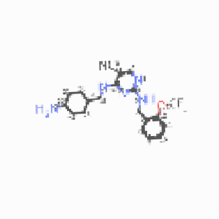 N#Cc1cnc(NCc2ccccc2OC(F)(F)F)nc1NCC1CCC(N)CC1